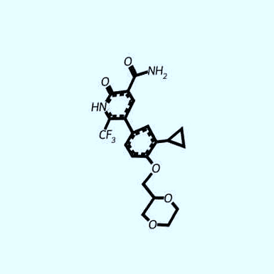 NC(=O)c1cc(-c2ccc(OCC3COCCO3)c(C3CC3)c2)c(C(F)(F)F)[nH]c1=O